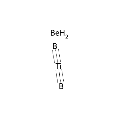 [B]#[Ti]#[B].[BeH2]